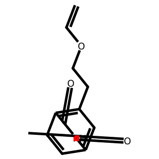 C=COCCc1cc2ccc1c(=O)[nH]c2=O